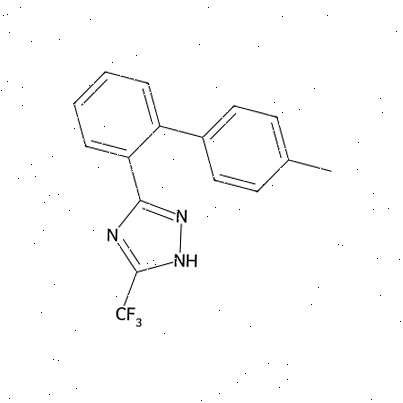 Cc1ccc(-c2ccccc2-c2n[nH]c(C(F)(F)F)n2)cc1